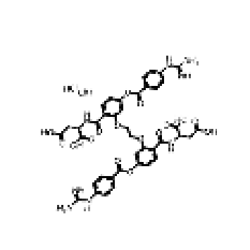 Cl.Cl.N=C(N)Nc1ccc(C(=O)Oc2ccc(C(=O)N[C@H](CC(=O)O)C(=O)O)c(OCCOc3cc(OC(=O)c4ccc(NC(=N)N)cc4)ccc3C(=O)N[C@H](CC(=O)O)C(=O)O)c2)cc1